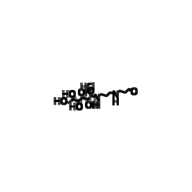 Cl.O=CCCNCCCNC(=O)[C@H](O)[C@@H](O)[C@H](O)[C@H](O)CO